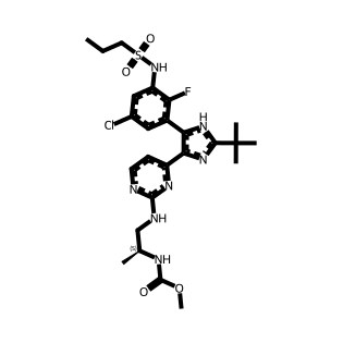 CCCS(=O)(=O)Nc1cc(Cl)cc(-c2[nH]c(C(C)(C)C)nc2-c2ccnc(NC[C@H](C)NC(=O)OC)n2)c1F